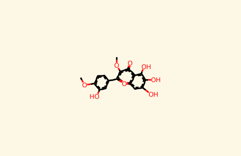 COc1ccc(-c2oc3cc(O)c(O)c(O)c3c(=O)c2OC)cc1O